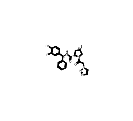 CC(C)c1ccc([C@@H](NC(=O)[C@@H]2C[C@@H](F)CN2C(=O)Cn2ccnn2)c2ccccc2)cc1F